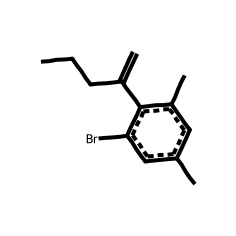 C=C(CCC)c1c(C)cc(C)cc1Br